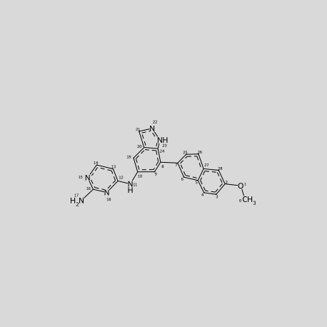 COc1ccc2cc(-c3cc(Nc4ccnc(N)n4)cc4cn[nH]c34)ccc2c1